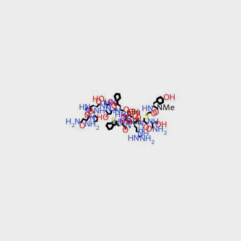 CCCC[C@@H](C(=O)N(C)[C@@H](CCCC)C(=O)N[C@@H](CCCNC(=N)N)C(=O)NC(CSCC(=O)N[C@@H](Cc1ccc(O)cc1)C(=O)NC)C(=O)N[C@@H](CO)C(N)=O)N(C)C(=O)[C@H](Cc1csc2ccccc12)NC(=O)[C@H](CO)NC(=O)[C@H](Cc1c[nH]c2ccccc12)NC(=O)[C@@H]1C[C@@H](O)CN1C(=O)[C@H](CO)NC(=O)[C@H](Cc1cnc[nH]1)NC(=O)[C@@H]1CCCN1C(=O)[C@@H](N)CC(N)=O